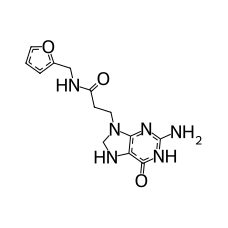 Nc1nc2c(c(=O)[nH]1)NCN2CCC(=O)NCc1ccco1